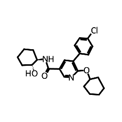 O=C(N[C@@H]1CCCC[C@H]1O)c1cnc(OC2CCCCC2)c(-c2ccc(Cl)cc2)c1